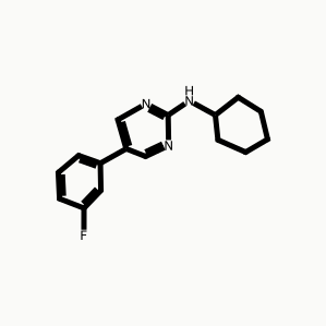 Fc1cccc(-c2cnc(NC3CCCCC3)nc2)c1